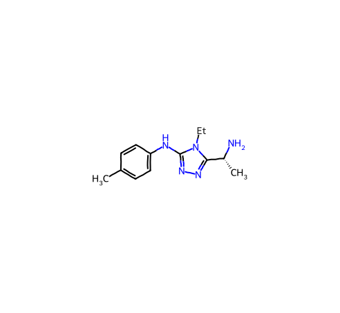 CCn1c(Nc2ccc(C)cc2)nnc1[C@@H](C)N